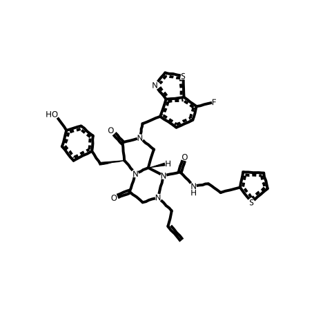 C=CCN1CC(=O)N2[C@@H](Cc3ccc(O)cc3)C(=O)N(Cc3ccc(F)c4scnc34)C[C@@H]2N1C(=O)NCCc1cccs1